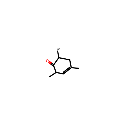 CC1=CC(C)C(=O)C(C(C)C)C1